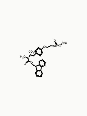 CN(C(=O)OCC1c2ccccc2-c2ccccc21)[C@@H](Cc1ccc(OCCNC(=O)OC(C)(C)C)cc1)C(=O)O